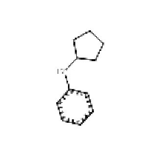 c1ccc([SiH]C2CCCC2)cc1